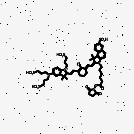 CC1(C)C(/C=C/C2=C(Cl)C(=C/C=C3/N(CCCCCC(=O)ON4C(=O)CCC4=O)c4ccc5cc(S(=O)(=O)O)ccc5c4C3(C)C)/CCC2)=[N+](CCCS(=O)(=O)O)c2ccc(N(CCCS(=O)(=O)O)CCCS(=O)(=O)O)cc21